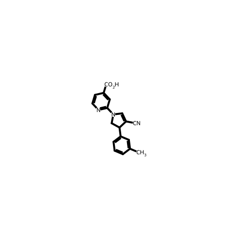 Cc1cccc(C2CN(c3cc(C(=O)O)ccn3)C=C2C#N)c1